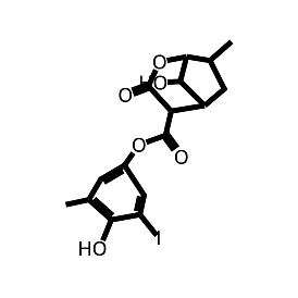 Cc1cc(OC(=O)C2C(=O)OC3C(C)CC2C3O)cc(I)c1O